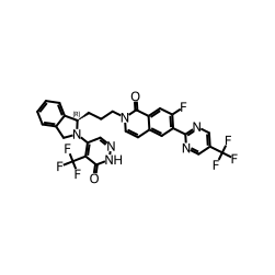 O=c1[nH]ncc(N2Cc3ccccc3[C@H]2CCCn2ccc3cc(-c4ncc(C(F)(F)F)cn4)c(F)cc3c2=O)c1C(F)(F)F